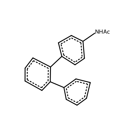 CC(=O)Nc1ccc(-c2ccccc2-c2ccccc2)cc1